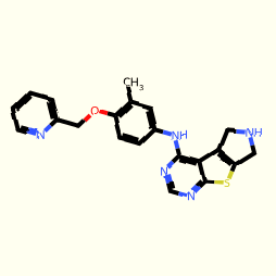 Cc1cc(Nc2ncnc3sc4c(c23)CNC4)ccc1OCc1ccccn1